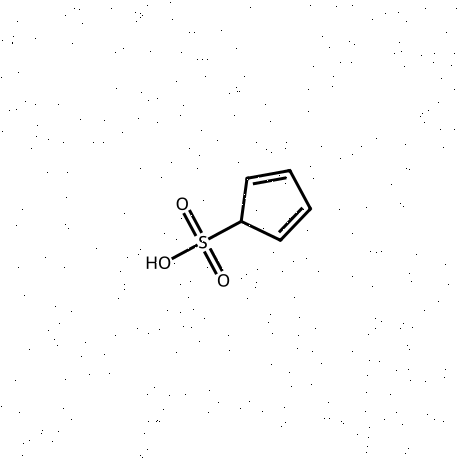 O=S(=O)(O)C1C=CC=C1